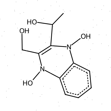 CC(O)C1=C(CO)N(O)c2ccccc2N1O